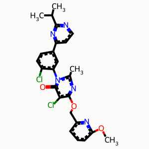 COc1cccc(COc2nc(C)n(-c3cc(-c4ccnc(C(C)C)n4)ccc3Cl)c(=O)c2Cl)n1